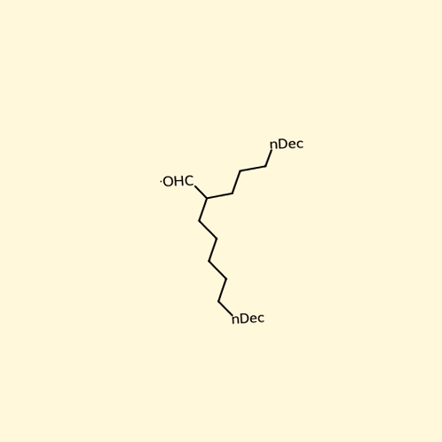 CCCCCCCCCCCCCCCC([C]=O)CCCCCCCCCCCCC